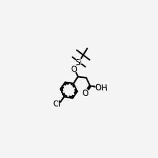 CC(C)(C)[Si](C)(C)OC(CC(=O)O)c1ccc(Cl)cc1